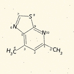 Cc1cc(C)c2ncsc2n1